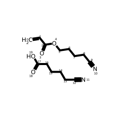 C=CC(=O)OCCCCC#N.N#CCCCCC(=O)O